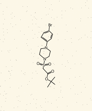 CC(C)(C)OC(=O)CS(=O)(=O)N1CCN(c2ccc(Br)cc2)CC1